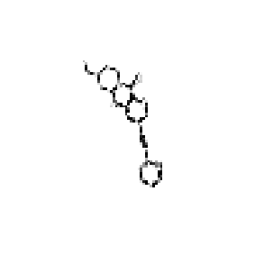 CCC1CCn2c(nc3cc(C#Cc4ccccn4)cnc3c2=O)C1